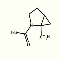 CC(C)(C)C(=O)N1CCC2CC21C(=O)O